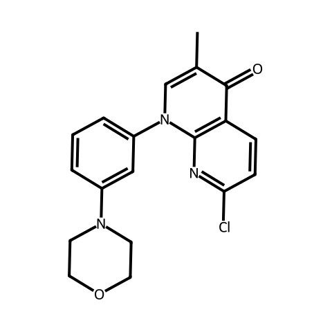 Cc1cn(-c2cccc(N3CCOCC3)c2)c2nc(Cl)ccc2c1=O